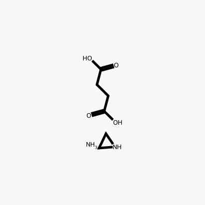 C1CN1.N.O=C(O)CCC(=O)O